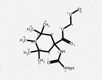 CCCCCCCC(=O)NC1(C(=O)OCOCC)CC(C)(C)N(C)C(C)(C)C1